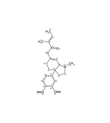 C/C=C(\C)C(=O)OC1=CC2N(C)CCC2(c2ccc(OC)c(OC)c2)CC1